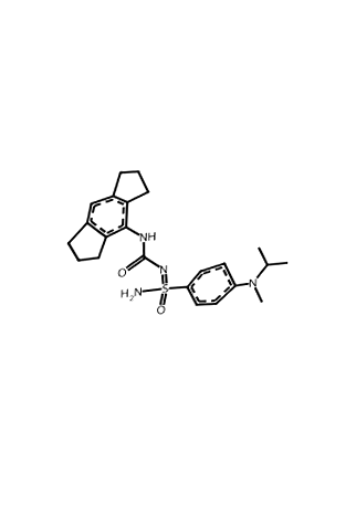 CC(C)N(C)c1ccc(S(N)(=O)=NC(=O)Nc2c3c(cc4c2CCC4)CCC3)cc1